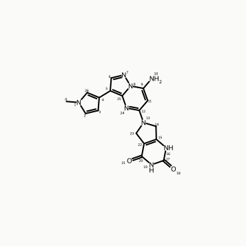 Cn1ccc(-c2cnn3c(N)cc(N4Cc5[nH]c(=O)[nH]c(=O)c5C4)nc23)c1